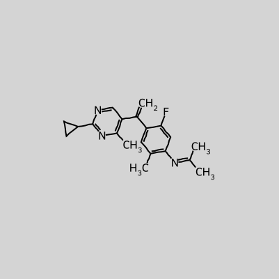 C=C(c1cc(C)c(N=C(C)C)cc1F)c1cnc(C2CC2)nc1C